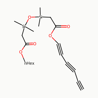 C#CC#CC#COC(=O)C[Si](C)(C)O[Si](C)(C)CC(=O)OCCCCCC